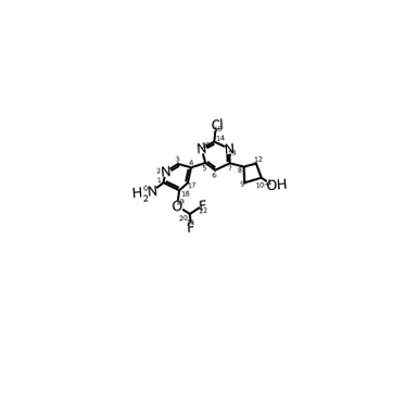 Nc1ncc(-c2cc(C3CC(O)C3)nc(Cl)n2)cc1OC(F)F